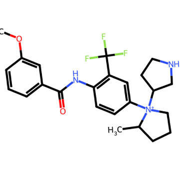 COc1cccc(C(=O)Nc2ccc([N+]3(C4CCNC4)CCCC3C)cc2C(F)(F)F)c1